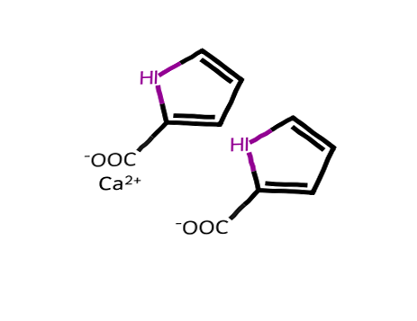 O=C([O-])C1=CC=C[IH]1.O=C([O-])C1=CC=C[IH]1.[Ca+2]